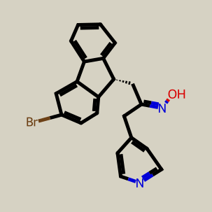 O/N=C(/Cc1ccncc1)C[C@H]1c2ccccc2-c2cc(Br)ccc21